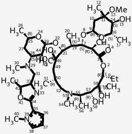 CC[C@H]1OC(=O)[C@H](C)[C@@H](O[C@H]2C[C@@](C)(OC)[C@@H](O)[C@H](C)O2)[C@H](C)[C@@H](O[C@@H]2O[C@H](C)C[C@H](N(C)CC3N=C(c4cccn4C)OC3C)[C@H]2O)[C@](C)(O)C[C@@H](C)CN(C)[C@H](C)[C@@H](O)[C@]1(C)O